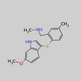 CNCc1cc(C)ccc1Sc1c[nH]c2cc(OC)ccc12